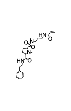 C=CC(=O)NCCCN(C)S(=O)(=O)c1ccc(C(=O)NCCc2ccccc2)n1C